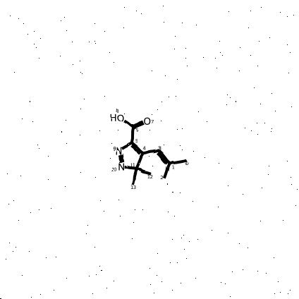 CC(C)=CC1=C(C(=O)O)N=NC1(C)C